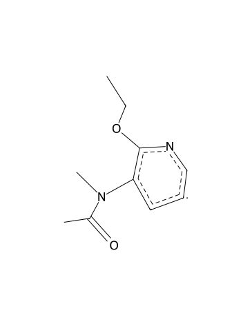 CCOc1nc[c]cc1N(C)C(C)=O